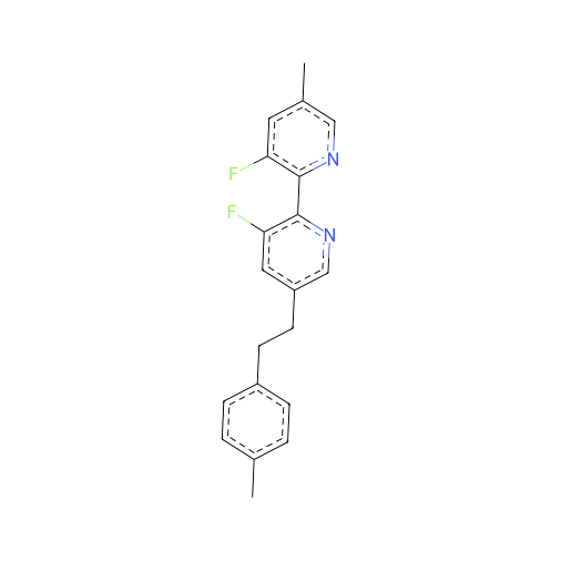 Cc1ccc(CCc2cnc(-c3ncc(C)cc3F)c(F)c2)cc1